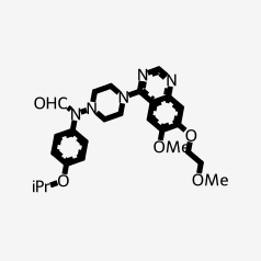 COCCOc1cc2ncnc(N3CCN(N(C=O)c4ccc(OC(C)C)cc4)CC3)c2cc1OC